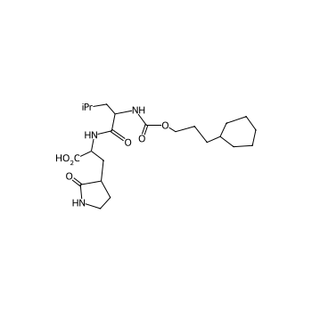 CC(C)CC(NC(=O)OCCCC1CCCCC1)C(=O)NC(CC1CCNC1=O)C(=O)O